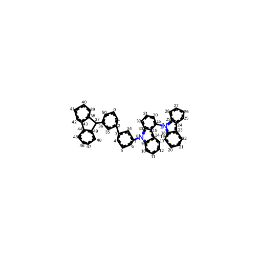 c1cc(-c2cccc(-n3c4ccccc4c4c(-n5c6ccccc6c6ccccc65)cccc43)c2)cc(C2c3ccccc3-c3ccccc32)c1